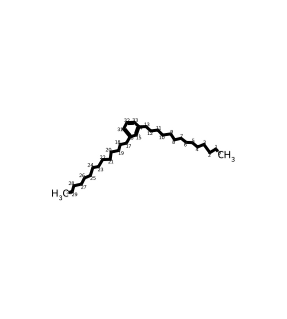 CCCCCCCCCCCCCCc1[c]c(CCCCCCCCCCCCCC)ccc1